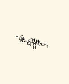 Cc1cnc(Nc2nccn3c(-c4cnn(C)c4)cnc23)s1